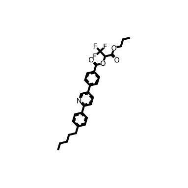 CCCCCc1ccc(-c2ccc(-c3ccc(C(=O)OC(C(=O)OCCC)C(F)(F)F)cc3)cn2)cc1